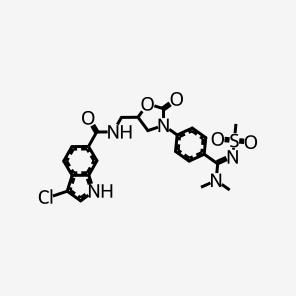 CN(C)/C(=N/S(C)(=O)=O)c1ccc(N2CC(CNC(=O)c3ccc4c(Cl)c[nH]c4c3)OC2=O)cc1